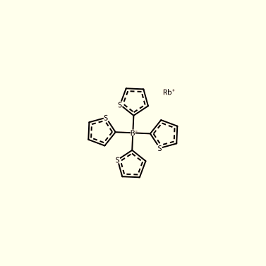 [Rb+].c1csc([B-](c2cccs2)(c2cccs2)c2cccs2)c1